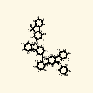 CC1(C)c2ccccc2-c2ccc(-n3c4ccccc4c4cc(-n5c6ccccc6c6cc7c(cc65)c5ccccc5n7-c5ccccc5)ccc43)cc21